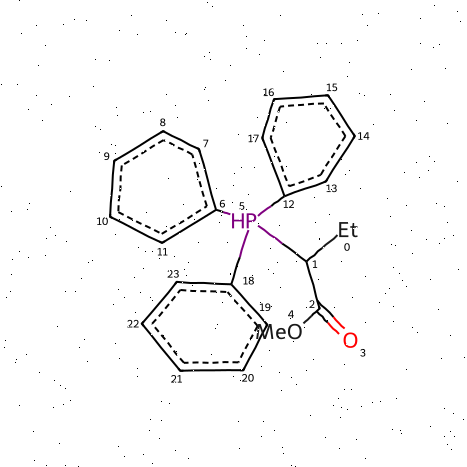 CCC(C(=O)OC)[PH](c1ccccc1)(c1ccccc1)c1ccccc1